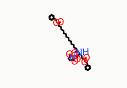 O=C(CCCCCCCCCCCCCCC(=O)OCc1ccccc1)N[C@@H](CCC(=O)OCc1ccccc1)C(=O)ON1C(=O)CCC1=O